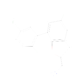 NCC1Cc2cc(Cl)cc(-c3cc(F)ccc3F)c2O1